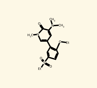 CCOc1ccc(S(=O)(=O)CC)cc1-c1cc(N(C)C)c(=O)n(C)c1